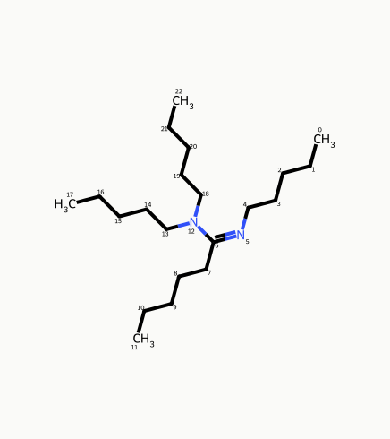 CCCCCN=C(CCCCC)N(CCCCC)CCCCC